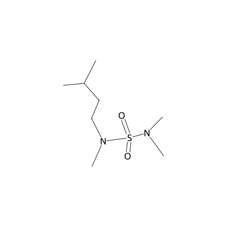 CC(C)CCN(C)S(=O)(=O)N(C)C